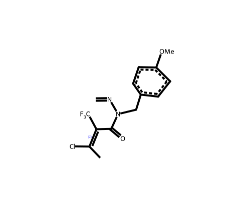 C=NN(Cc1ccc(OC)cc1)C(=O)/C(=C(\C)Cl)C(F)(F)F